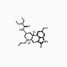 CCCN1C[C@@H](NC(=O)N(CC)CC)C[C@@H]2c3cc(CC)cc4[nH]c(C)c(c34)C[C@H]21